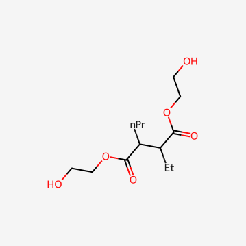 CCCC(C(=O)OCCO)C(CC)C(=O)OCCO